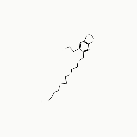 CCCCOCCOCCOCc1cc2c(cc1CCC)OCO2.[TeH2]